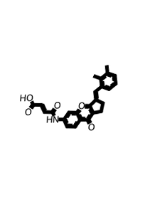 Cc1cccc(C=C2CCc3c2oc2cc(NC(=O)/C=C/C(=O)O)ccc2c3=O)c1C